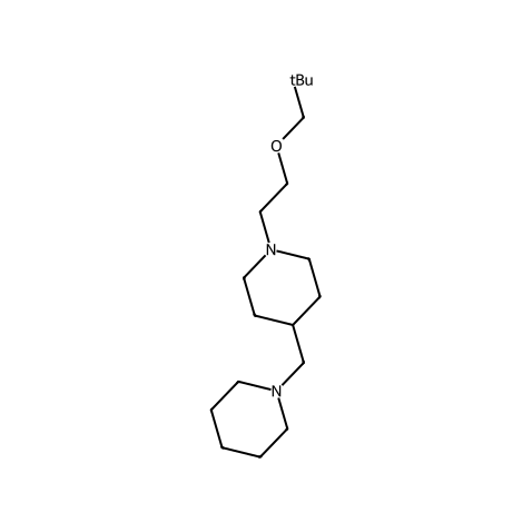 CC(C)(C)COCCN1CCC(CN2CCCCC2)CC1